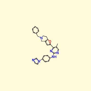 Cc1cnc(Nc2ccc(-n3ccnc3)cc2)nc1-c1cc2c(o1)CCN(Cc1ccccc1)C2